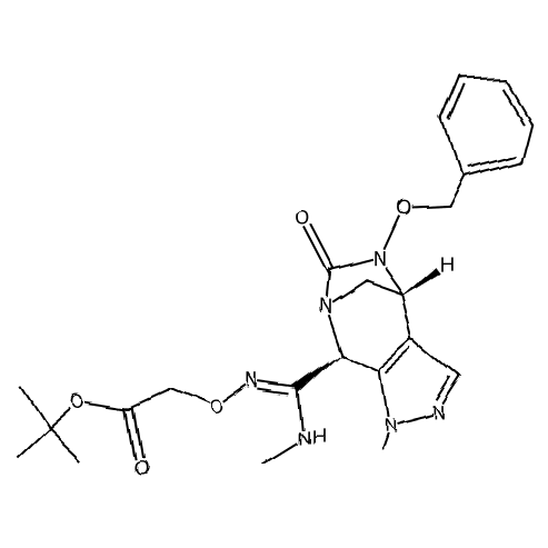 CN/C(=N\OCC(=O)OC(C)(C)C)[C@@H]1c2c(cnn2C)[C@@H]2CN1C(=O)N2OCc1ccccc1